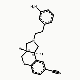 N#Cc1ccc2c(c1)[C@@H]1CN(CCc3cccc(N)c3)C[C@H]1CO2